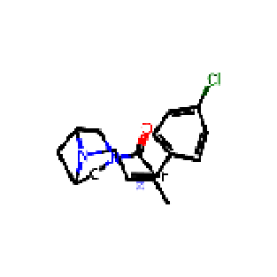 CCC(=O)N1CC2CC(C1)N2C/C=C(/C)c1ccc(Cl)cc1